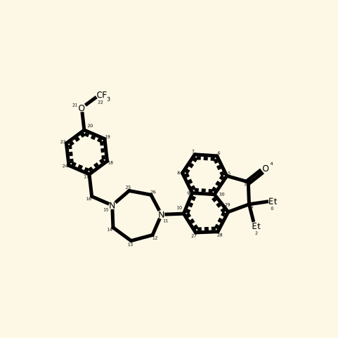 CCC1(CC)C(=O)c2cccc3c(N4CCCN(Cc5ccc(OC(F)(F)F)cc5)CC4)ccc1c23